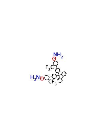 NCOC1CCC(c2ccc(C3(c4ccc(C5CCC(OCN)CC5C(F)(F)F)cc4)c4ccccc4-c4ccccc43)cc2)C(C(F)(F)F)C1